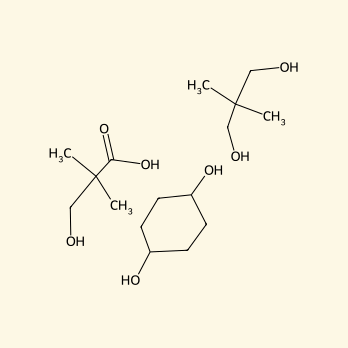 CC(C)(CO)C(=O)O.CC(C)(CO)CO.OC1CCC(O)CC1